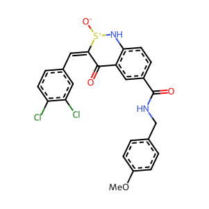 COc1ccc(CNC(=O)c2ccc3c(c2)C(=O)/C(=C\c2ccc(Cl)c(Cl)c2)[S+]([O-])N3)cc1